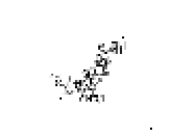 CCOC1CCN(c2cnc(Cl)cc2NS(=O)(=O)c2ccc3cc(C(=O)NO)oc3c2)CC1